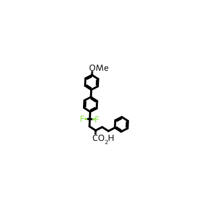 COc1ccc(-c2ccc(C(F)(F)CC(CCc3ccccc3)C(=O)O)cc2)cc1